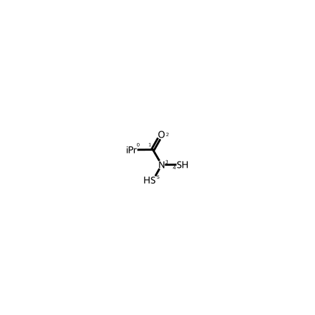 CC(C)C(=O)N(S)S